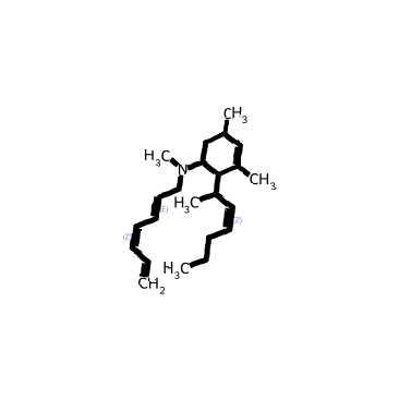 C=C/C=C\C=C\CN(C)C1CC(C)C=C(C)C1C(C)/C=C\CCC